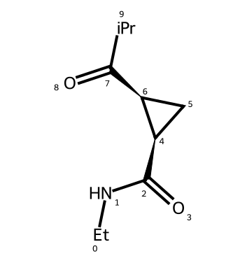 CCNC(=O)[C@@H]1C[C@@H]1C(=O)C(C)C